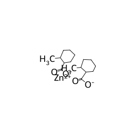 CC1CCCCC1C(=O)[O-].CC1CCCCC1C(=O)[O-].[Zn+2]